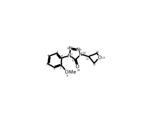 COc1ccccc1-n1nnn(C2COC2)c1=O